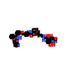 CC(C)(NC(=O)c1ccc(COc2cccc([C@@H](NC(=O)O[C@H]3CN4CCC3CC4)c3ccccc3)c2)cc1)C(=O)OCCCCNC[C@H](O)c1ccc(O)c2[nH]c(=O)ccc12